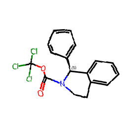 O=C(OC(Cl)(Cl)Cl)N1CCc2ccccc2[C@@H]1c1ccccc1